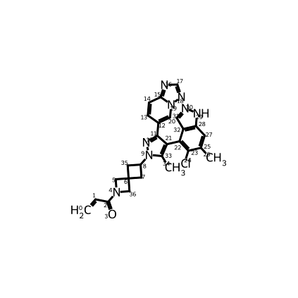 C=CC(=O)N1CC2(CC(n3nc(-c4ccc5ncnn5c4)c(-c4c(Cl)c(C)cc5[nH]ncc45)c3C)C2)C1